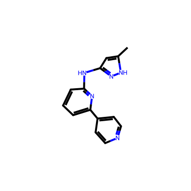 Cc1cc(Nc2cccc(-c3ccncc3)n2)n[nH]1